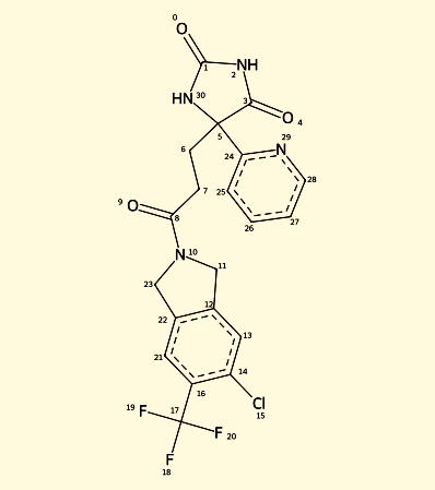 O=C1NC(=O)C(CCC(=O)N2Cc3cc(Cl)c(C(F)(F)F)cc3C2)(c2ccccn2)N1